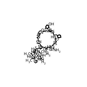 C=C(NC(=O)C(=C)NC(=O)[C@@H]1CCCN1C(=O)[C@H](C)NC(=O)C(=C)NC(=O)c1csc(-c2ccc3c(n2)-c2csc(n2)-c2csc(n2)[C@@H]2CCCN2C(=O)[C@H](Cc2ccc(O)cc2)NC(=O)[C@@H]2CSC(=N2)[C@H](Cc2ccccc2)NC(=O)c2csc(n2)[C@H](CC(N)=O)NC(=O)c2nc-3oc2C)n1)C(N)=O